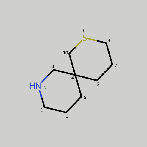 C1CNCC2(C1)CCCSC2